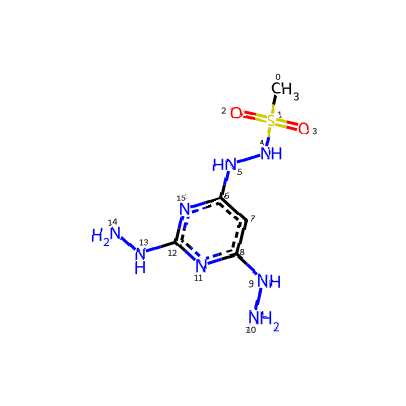 CS(=O)(=O)NNc1cc(NN)nc(NN)n1